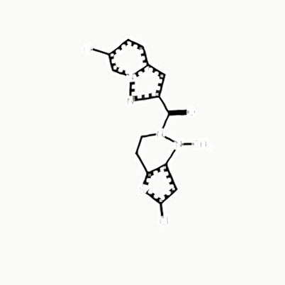 CN1c2cc(Cl)sc2CCN1C(=O)c1cc2ccc(Cl)cn2n1